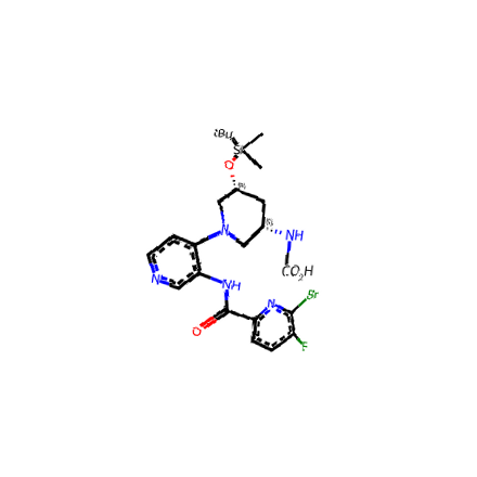 CC(C)(C)[Si](C)(C)O[C@@H]1C[C@H](NC(=O)O)CN(c2ccncc2NC(=O)c2ccc(F)c(Br)n2)C1